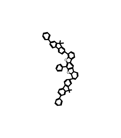 CC1(C)c2cc(C3=CC=CC4c5cc6c(oc7c(-c8ccc9c(c8)C(C)(C)c8cc(-c%10ccccc%10)ccc8-9)cccc76)c(-c6ccccc6)c5OC34)ccc2-c2ccc(-c3ccccc3)cc21